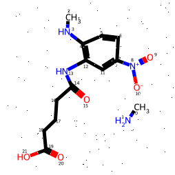 CN.CNc1ccc([N+](=O)[O-])cc1NC(=O)CCCC(=O)O